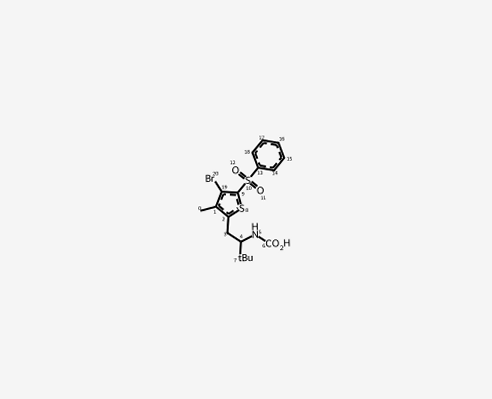 Cc1c(CC(NC(=O)O)C(C)(C)C)sc(S(=O)(=O)c2ccccc2)c1Br